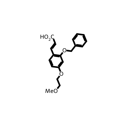 COCCOc1ccc(C=CC(=O)O)c(OCc2ccccc2)c1